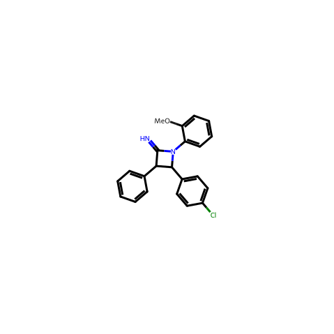 COc1ccccc1N1C(=N)C(c2ccccc2)C1c1ccc(Cl)cc1